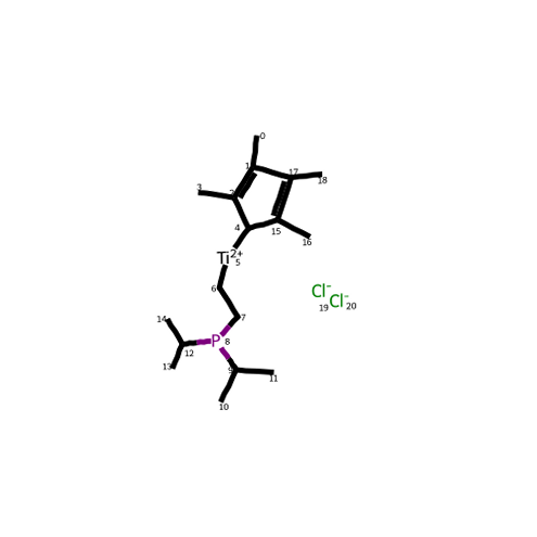 CC1=C(C)[CH]([Ti+2][CH2]CP(C(C)C)C(C)C)C(C)=C1C.[Cl-].[Cl-]